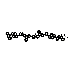 CC1(C)c2ccccc2-c2c1ccc1c(-c3ccc4ccc5c(-c6cccc(-c7ccc8c(c7)c7ccccc7c7c8ccc8c9ccc(-c%10ccc%11c(c%10)c%10ccccc%10c%10cc%12c(cc%11%10)sc%10ccc(-c%11ccc%13ccc%14c(-c%15c%16ccccc%16cc%16ccccc%15%16)ccc%15ccc%11c%13c%15%14)cc%10%12)cc9sc87)c6)ccc6ccc3c4c65)cccc21